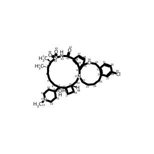 C[C@@H]1[C@@H](C)CCC[C@](O)(C2CCN(C)CC2)[C@@H]2CC[C@H]2CN2CCCCc3cc(Cl)ccc3COc3ccc(cc32)C(=O)NS1(=O)=O